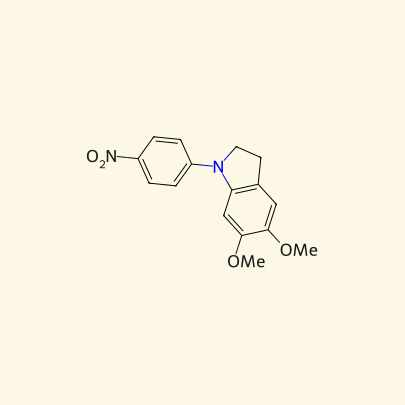 COc1cc2c(cc1OC)N(c1ccc([N+](=O)[O-])cc1)CC2